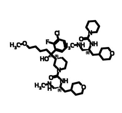 CNC[C@@H](CC1CCOCC1)NC(=O)N1CCC[C@@H]([C@@](O)(CCCCOC)c2cccc(Cl)c2F)C1.CNC[C@H](CC1CCOCC1)NC(=O)N1CCCCC1